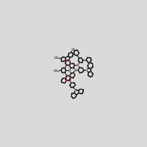 CC(C)(C)c1cc(-c2ccccc2)c(N2c3cc(N(c4ccccc4)c4ccc(-n5c6ccccc6c6ccccc65)cc4)ccc3B3c4ccc(-n5c6ccccc6c6ccccc65)cc4N(c4cc(-c5ccccc5)cc(-c5ccccc5)c4)c4cc(-n5c6ccc(C(C)(C)C)cc6c6cc(C(C)(C)C)ccc65)cc2c43)c(-c2ccccc2)c1